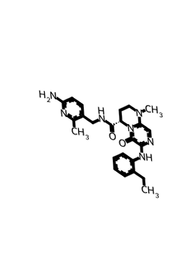 CCc1ccccc1Nc1ncc2n(c1=O)[C@H](C(=O)NCc1ccc(N)nc1C)CCN2C